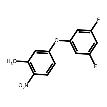 Cc1cc(Oc2cc(F)cc(F)c2)ccc1[N+](=O)[O-]